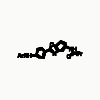 CC(=O)Nc1ccc(-c2nc3cc(NC(=O)C(C)C)ccc3o2)cc1